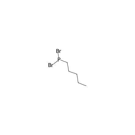 CCCCCP(Br)Br